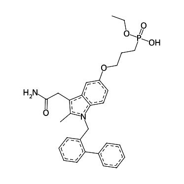 CCOP(=O)(O)CCCOc1ccc2c(c1)c(CC(N)=O)c(C)n2Cc1ccccc1-c1ccccc1